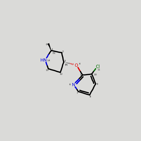 C[C@H]1C[C@H](Oc2ncccc2Cl)CCN1